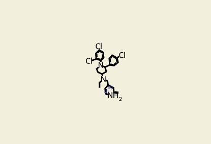 C=C/C=C(\C=C/N)CN(CC)C1CCN(c2ccc(Cl)cc2Cl)C(c2ccc(Cl)cc2)C1